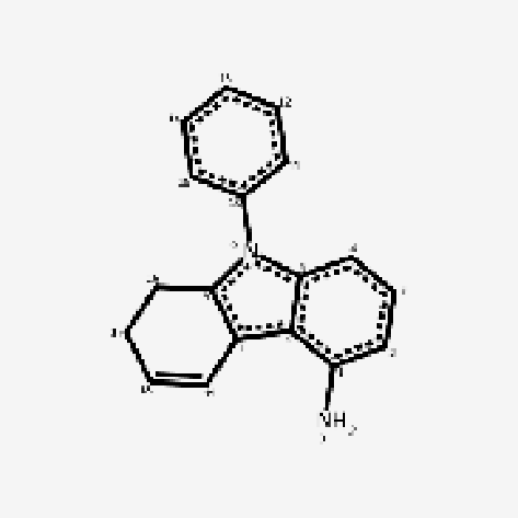 Nc1cccc2c1c1c(n2-c2ccccc2)CCC=C1